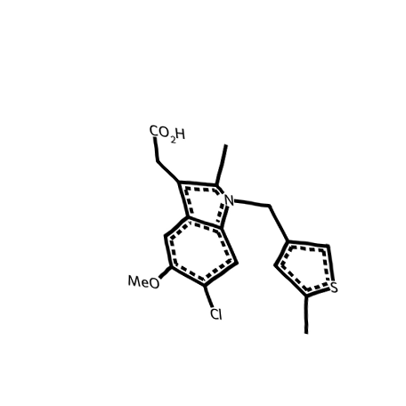 COc1cc2c(CC(=O)O)c(C)n(Cc3csc(C)c3)c2cc1Cl